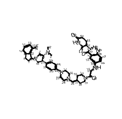 CN(C)[C@H]1CN(C2CCc3cccc(F)c32)C[C@@H]1c1ccc(N2CCN(CC3CCN(C(=O)CNc4ccc5nnn(C6CCC(=O)NC6=O)c(=O)c5c4)CC3)CC2)cc1